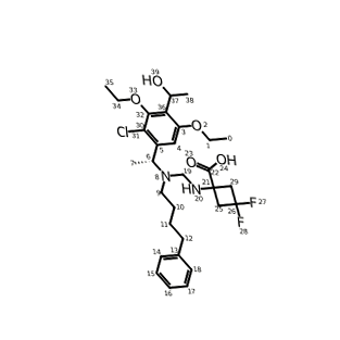 CCOc1cc([C@@H](C)N(CCCCc2ccccc2)CNC2(C(=O)O)CC(F)(F)C2)c(Cl)c(OCC)c1C(C)O